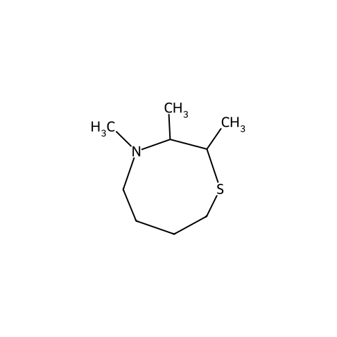 CC1SCCCCN(C)C1C